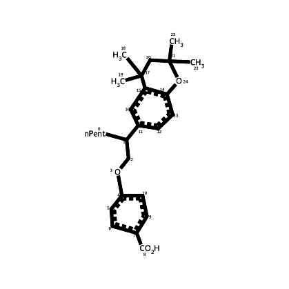 CCCCCC(COc1ccc(C(=O)O)cc1)c1ccc2c(c1)C(C)(C)CC(C)(C)O2